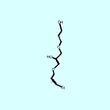 CC/C=C\COCC(O)COCCCO